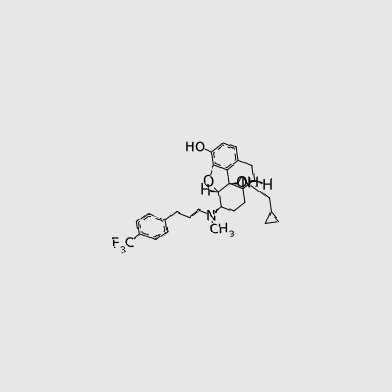 CN(CCCc1ccc(C(F)(F)F)cc1)[C@@H]1CC[C@@]2(O)[C@H]3Cc4ccc(O)c5c4[C@@]2(CCN3CC2CC2)[C@H]1O5